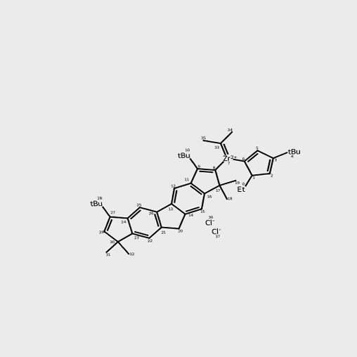 CCC1C=C(C(C)(C)C)C=[C]1[Zr+2]([C]1=C(C(C)(C)C)c2cc3c(cc2C1(C)C)Cc1cc2c(cc1-3)C(C(C)(C)C)=CC2(C)C)=[C](C)C.[Cl-].[Cl-]